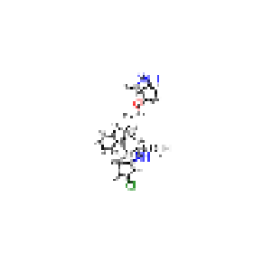 Cc1n[nH]c2cccc(OCCCC3Cc4ccccc4C34CCC(Nc3cccc(Cl)c3)(C(=O)O)CC4)c12